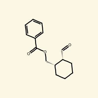 O=C[C@@H]1CCCC[C@@H]1COC(=O)c1ccccc1